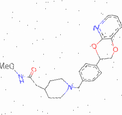 CONC(=O)CC1CCN(Cc2ccc(C3COc4cccnc4O3)cc2)CC1